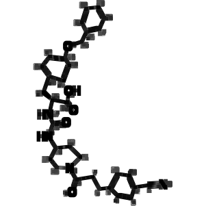 N#Cc1ccc(CCC(=O)N2CCC(NC(=O)N[C@@H](Cc3ccc(OCc4ccccc4)cc3)C(=O)O)CC2)cc1